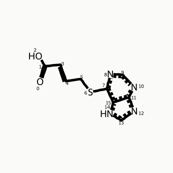 O=C(O)C=CCSc1ncnc2nc[nH]c12